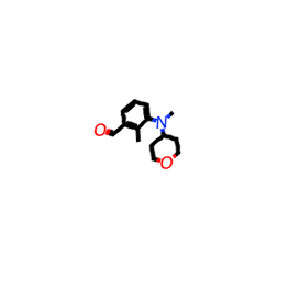 Cc1c(C=O)cccc1N(C)C1CCOCC1